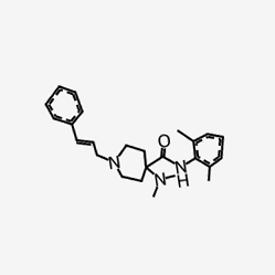 Cc1cccc(C)c1NC(=O)C1(N(C)C)CCN(CC=Cc2ccccc2)CC1